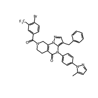 Cc1ccnn1-c1ccc(-n2c(=O)c3c(n4ncc(Cc5ccccc5)c24)CN(C(=O)c2ccc(Br)c(C(F)(F)F)c2)CC3)cc1